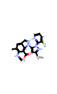 COc1cc(-n2ncc3cc(C)c4ncoc(=O)c4c32)n(-c2ncccc2Cl)n1